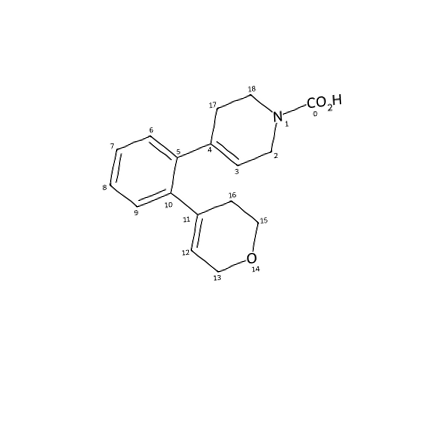 O=C(O)N1CC=C(c2ccccc2C2=CCOCC2)CC1